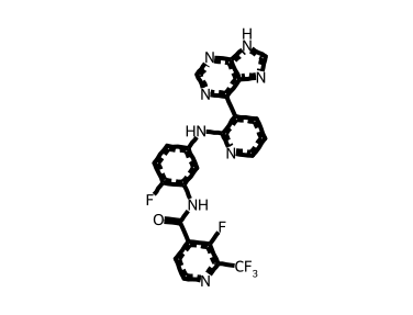 O=C(Nc1cc(Nc2ncccc2-c2ncnc3[nH]cnc23)ccc1F)c1ccnc(C(F)(F)F)c1F